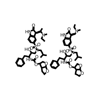 CCN(C)C(C)=C1C(=O)Nc2ccc(S(=O)(=O)N(CC(C)C)CC(O)C(Cc3ccccc3)NC(=O)OC3COC4OCCC34)cc21.CCN(C)C=C1C(=O)Nc2ccc(S(=O)(=O)N(CC(C)C)CC(O)C(Cc3ccccc3)NC(=O)OC3COC4OCCC34)cc21